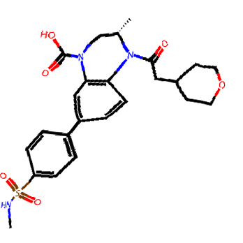 CNS(=O)(=O)c1ccc(-c2ccc3c(c2)N(C(=O)O)C[C@H](C)N3C(=O)CC2CCOCC2)cc1